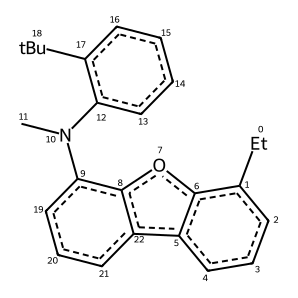 CCc1cccc2c1oc1c(N(C)c3ccccc3C(C)(C)C)cccc12